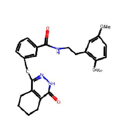 COc1ccc(OC)c(CCNC(=O)c2cccc(Cc3n[nH]c(=O)c4c3CCCC4)c2)c1